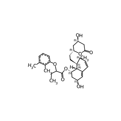 CCC(Oc1cccc(C)c1C)C(=O)O[C@H]1C[C@H](O)C=C2C=C[C@H](C)[C@H](CC[C@@H]3C[C@@H](O)CC(=O)O3)[C@H]21